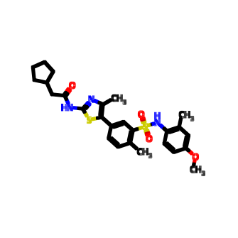 COc1ccc(NS(=O)(=O)c2cc(-c3sc(NC(=O)CC4CCCC4)nc3C)ccc2C)c(C)c1